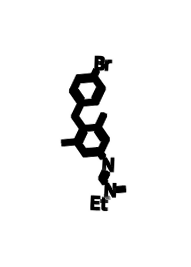 CCN(C)C=Nc1cc(C)c(Cc2ccc(Br)cc2)c(C)c1